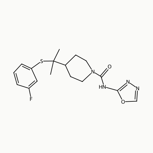 CC(C)(Sc1cccc(F)c1)C1CCN(C(=O)Nc2nnco2)CC1